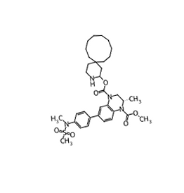 COC(=O)N1c2ccc(-c3ccc(N(C)S(C)(=O)=O)cc3)cc2N(C(=O)OC2CC3(CCCCCCCCC3)CCN2)C[C@@H]1C